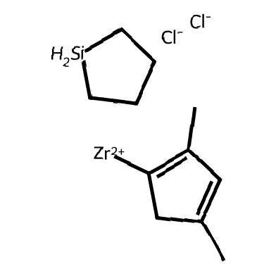 C1CC[SiH2]C1.CC1=CC(C)=[C]([Zr+2])C1.[Cl-].[Cl-]